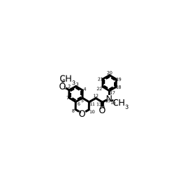 COc1ccc2c(c1)COCC2CC(=O)N(C)c1ccccc1